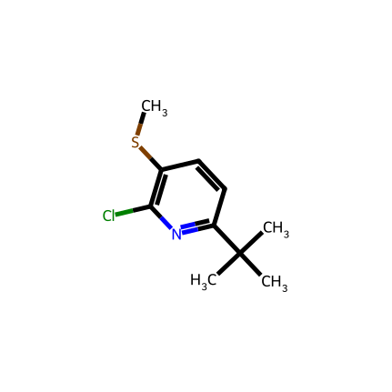 CSc1ccc(C(C)(C)C)nc1Cl